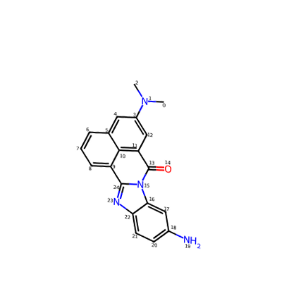 CN(C)c1cc2cccc3c2c(c1)c(=O)n1c2cc(N)ccc2nc31